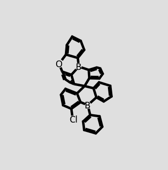 Clc1cccc2c1B(c1ccccc1)c1ccccc1C21c2ccccc2B2c3ccccc3Oc3cccc1c32